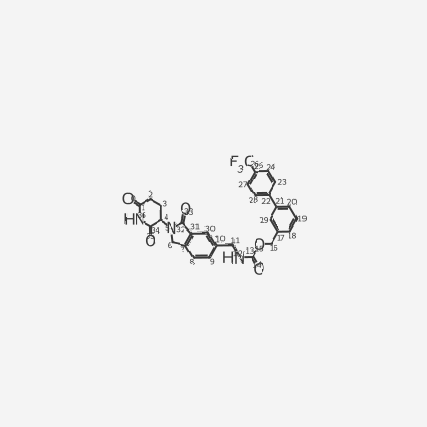 O=C1CCC(N2Cc3ccc(CNC(=O)OCc4cccc(-c5ccc(C(F)(F)F)cc5)c4)cc3C2=O)C(=O)N1